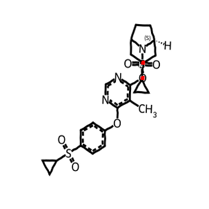 Cc1c(Oc2ccc(S(=O)(=O)C3CC3)cc2)ncnc1O[C@H]1CC2CC[C@@H](C1)N2S(=O)(=O)C1CC1